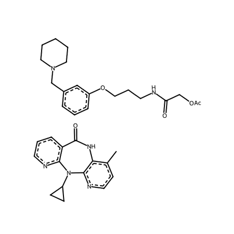 CC(=O)OCC(=O)NCCCOc1cccc(CN2CCCCC2)c1.Cc1ccnc2c1NC(=O)c1cccnc1N2C1CC1